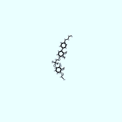 CCCCc1ccc(-c2ccc(OCC(F)(F)Oc3ccc(OCC)c(F)c3F)c(F)c2F)cc1